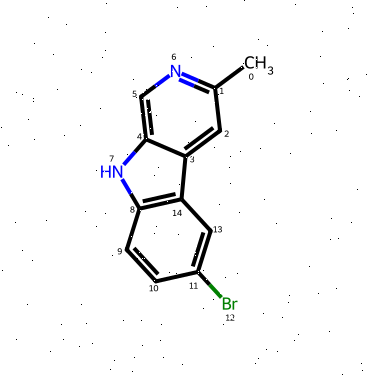 Cc1cc2c(cn1)[nH]c1ccc(Br)cc12